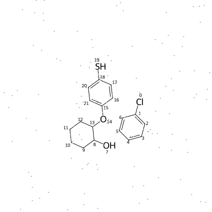 Clc1ccccc1.OC1CCCCC1Oc1ccc(S)cc1